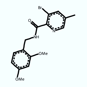 COc1ccc(CNC(=O)c2ncc(C)cc2Br)c(OC)c1